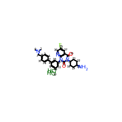 CN(C)Cc1ccc(-c2cccc(-n3c(=O)n(C4CCC(N)CC4)c(=O)c4cc(F)cnc43)c2)cc1.Cl.Cl